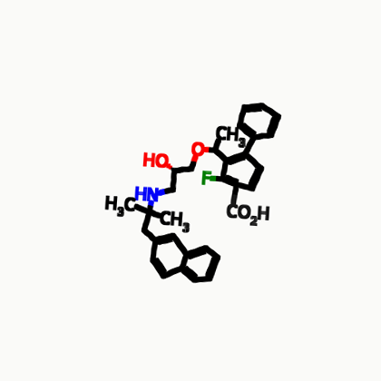 CC(OC[C@@H](O)CNC(C)(C)Cc1ccc2ccccc2c1)c1c(-c2ccccc2)ccc(C(=O)O)c1F